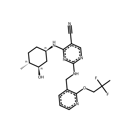 C[C@@H]1CC[C@@H](Nc2nc(NCc3cccnc3OCC(C)(F)F)ncc2C#N)C[C@H]1O